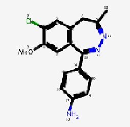 COc1cc2c(cc1Cl)CC(C)=NN=C2c1ccc(N)cc1